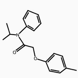 Cc1ccc(OCC(=O)N(c2ccccc2)C(C)C)cc1